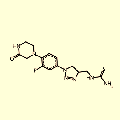 NC(=S)NCC1CN(c2ccc(N3CCNC(=O)C3)c(F)c2)N=N1